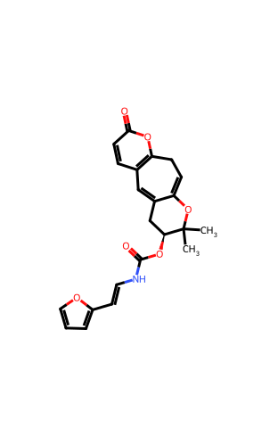 CC1(C)OC2=CCc3oc(=O)ccc3C=C2C[C@@H]1OC(=O)N/C=C/c1ccco1